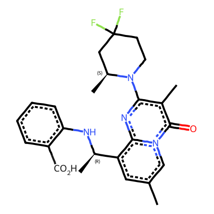 Cc1cc([C@@H](C)Nc2ccccc2C(=O)O)c2nc(N3CCC(F)(F)C[C@@H]3C)c(C)c(=O)n2c1